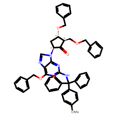 COc1ccc(C(Nc2nc(OCc3ccccc3)c3ncn([C@H]4C[C@H](OCc5ccccc5)[C@@H](COCc5ccccc5)C4=O)c3n2)(c2ccccc2)c2ccccc2)cc1